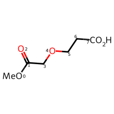 COC(=O)COCCC(=O)O